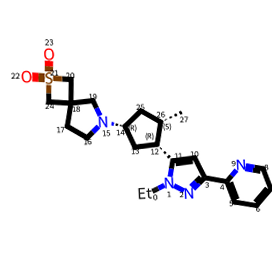 CCn1nc(-c2ccccn2)cc1[C@@H]1C[C@H](N2CCC3(C2)CS(=O)(=O)C3)C[C@@H]1C